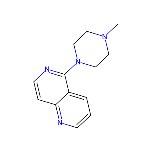 CN1CCN(c2nccc3ncccc23)CC1